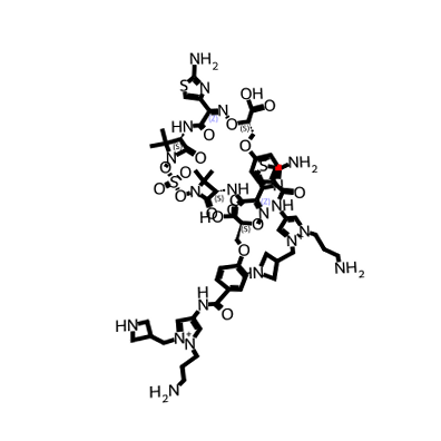 CC1(C)[C@H](NC(=O)/C(=N\O[C@@H](COc2ccc(C(=O)Nc3cn(CCCN)[n+](CC4CNC4)c3)cc2)C(=O)O)c2csc(N)n2)C(=O)N1OS(=O)(=O)ON1C(=O)[C@@H](NC(=O)/C(=N\O[C@@H](COc2ccc(C(=O)Nc3cn(CCCN)[n+](CC4CNC4)c3)cc2)C(=O)O)c2csc(N)n2)C1(C)C